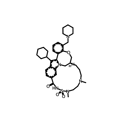 CN1CCC[C@H]2COc3c(CN4CCCCC4)cccc3-c3c(C4CCCCC4)c4ccc(cc4n3C2)C(=O)NS(=O)(=O)N(C)CC1